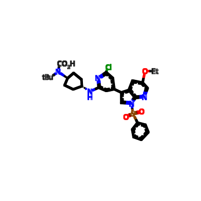 CCOc1cnc2c(c1)c(-c1cc(Cl)nc(N[C@H]3CC[C@H](N(C(=O)O)C(C)(C)C)CC3)c1)cn2S(=O)(=O)c1ccccc1